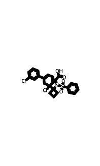 O=C(O)CN(C1(C2(Cl)C=CC=C(c3cccc(Cl)c3)C2)CCC1)S(=O)(=O)c1ccccc1